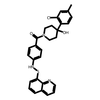 Cc1ccc(C2(O)CCN(C(=O)c3ccc(NSc4cccc5cccnc45)cc3)CC2)c(Cl)c1